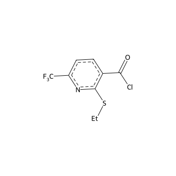 CCSc1nc(C(F)(F)F)ccc1C(=O)Cl